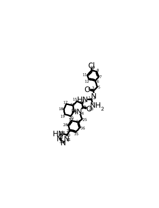 NC(=NC(=O)Cc1ccc(Cl)cc1)NC(CC1CCCCC1)C(=O)NCc1ccc(-c2nnn[nH]2)cc1